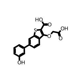 O=C(O)COc1c(C(=O)O)sc2cc(-c3cccc(O)c3)ccc12